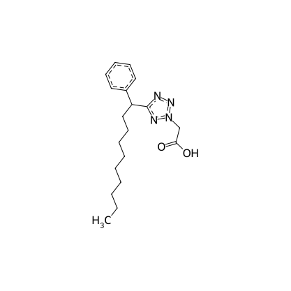 CCCCCCCCCC(c1ccccc1)c1nnn(CC(=O)O)n1